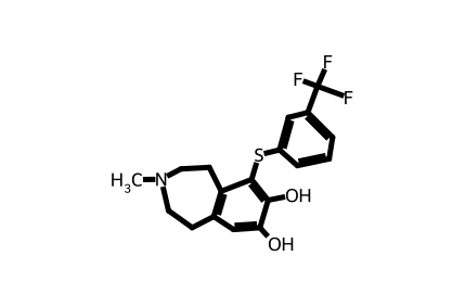 CN1CCc2cc(O)c(O)c(Sc3cccc(C(F)(F)F)c3)c2CC1